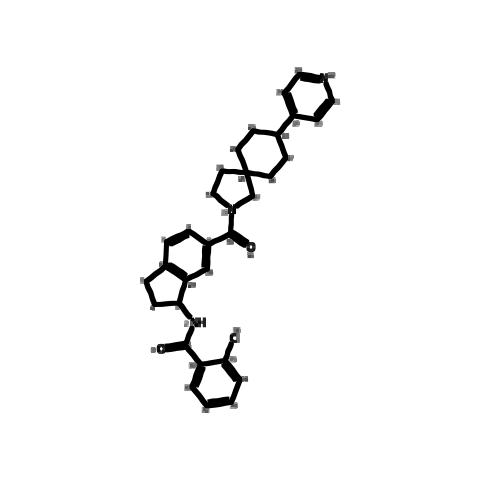 O=C(NC1CCc2ccc(C(=O)N3CCC4(CCC(c5ccncc5)CC4)C3)cc21)c1ccccc1Cl